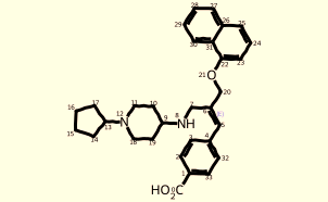 O=C(O)c1ccc(/C=C(\CNC2CCN(C3CCCC3)CC2)COc2cccc3ccccc23)cc1